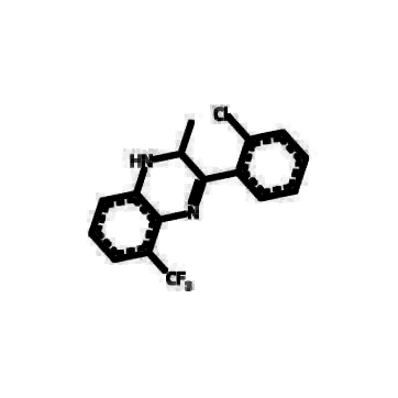 CC1Nc2cccc(C(F)(F)F)c2N=C1c1ccccc1Cl